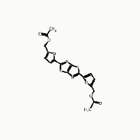 CC(=O)OCc1ccc(-c2nc3sc(-c4ccc(COC(C)=O)o4)nc3s2)o1